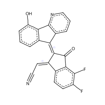 N#C/C=C1/C(=C2/c3cccnc3-c3c(O)cccc32)C(=O)c2c1ccc(F)c2F